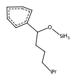 CC(C)CCCC(O[SiH3])c1ccccc1